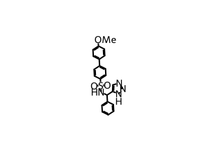 COc1ccc(-c2ccc(S(=O)(=O)NC(c3ccccc3)c3cnn[nH]3)cc2)cc1